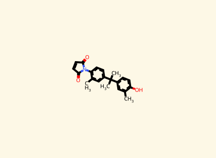 Cc1cc(C(C)(C)c2ccc(N3C(=O)C=CC3=O)c(C)c2)ccc1O